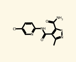 Cc1nsc(C(N)=O)c1C(=O)Nc1ccc(Cl)cn1